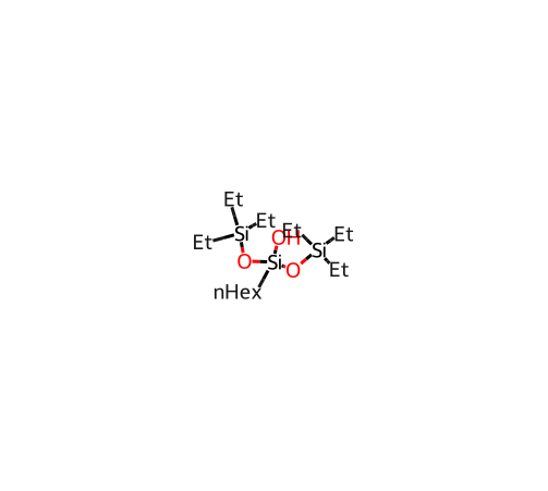 CCCCCC[Si](O)(O[Si](CC)(CC)CC)O[Si](CC)(CC)CC